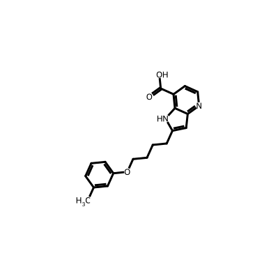 Cc1cccc(OCCCCc2cc3nccc(C(=O)O)c3[nH]2)c1